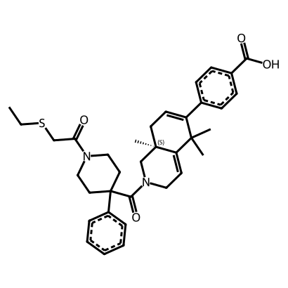 CCSCC(=O)N1CCC(C(=O)N2CC=C3C(C)(C)C(c4ccc(C(=O)O)cc4)=CC[C@]3(C)C2)(c2ccccc2)CC1